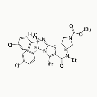 CCN(C(=O)C1=C(C(C)C)N2C(=N[C@@](C)(c3ccc(Cl)cc3)[C@H]2c2ccc(Cl)cc2)S1)[C@@H]1CCN(C(=O)OC(C)(C)C)C1